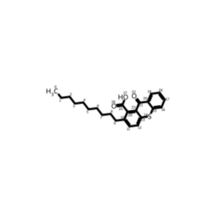 CCCCCCCCCCc1ccc2sc3ccccc3c(=O)c2c1C(=O)O